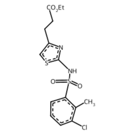 CCOC(=O)CCc1csc(NS(=O)(=O)c2cccc(Cl)c2C)n1